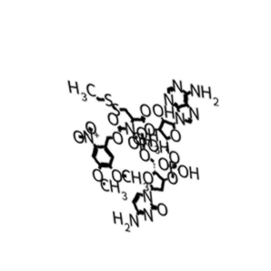 CCSSCC(C(=O)O[C@H]1[C@@H](O)[C@H](n2cnc3c(N)ncnc32)O[C@@H]1COP(=O)(O)O[C@H]1C[C@H](n2ccc(N)nc2=O)O[C@@H]1COP(=O)(O)O)N(C)C(=O)OCc1cc(OC)c(OC)cc1[N+](=O)[O-]